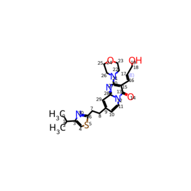 CC(C)c1csc(CCc2ccn3c(=O)c(/C=C/CO)c(N4CCOCC4)nc3c2)n1